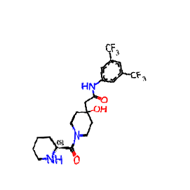 O=C(CC1(O)CCN(C(=O)[C@@H]2CCCCN2)CC1)Nc1cc(C(F)(F)F)cc(C(F)(F)F)c1